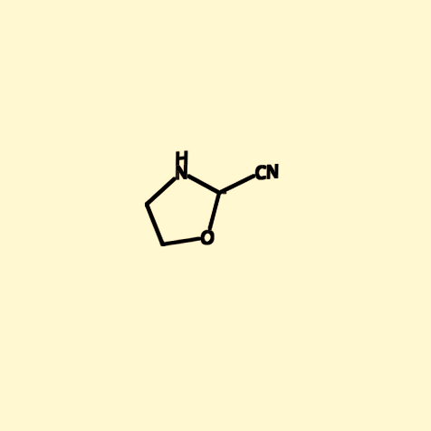 N#C[C]1NCCO1